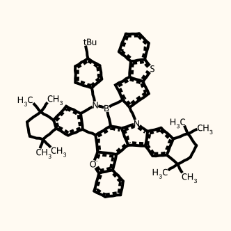 CC(C)(C)c1ccc(N2B3c4cc5c(cc4-n4c6cc7c(cc6c6c8c(oc9ccccc98)c(c3c64)-c3cc4c(cc32)C(C)(C)CCC4(C)C)C(C)(C)CCC7(C)C)sc2ccccc25)cc1